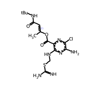 C/C(=C\C(=O)NC(C)(C)C)OC(=O)c1nc(Cl)c(N)nc1NCSC(=N)N